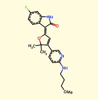 COCCCNc1ccc(C2=C/C(=C3\C(=O)Nc4cc(F)ccc43)OC2(C)C)cn1